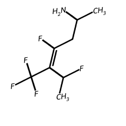 CC(N)C/C(F)=C(\C(C)F)C(F)(F)F